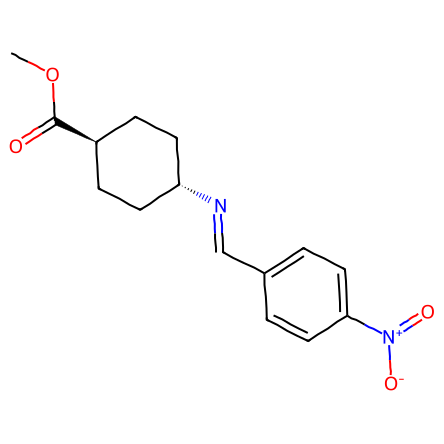 COC(=O)[C@H]1CC[C@H](/N=C/c2ccc([N+](=O)[O-])cc2)CC1